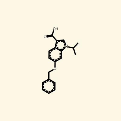 CC(C)n1cc(C(=O)O)c2ccc(OCc3ccccc3)cc21